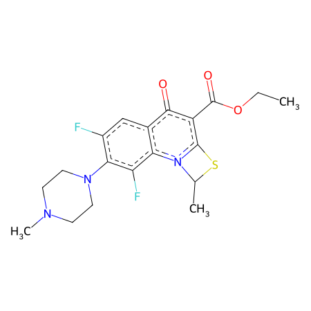 CCOC(=O)c1c2n(c3c(F)c(N4CCN(C)CC4)c(F)cc3c1=O)C(C)S2